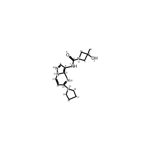 CC1(O)CN(C(=O)Nc2cnn3ccc(N4CCCC4)nc23)C1